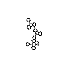 c1ccc(N2c3ccccc3-c3nccc4c3c2nc2ccc(-n3c5ccccc5c5cc(-c6cccc7c6c6ccccc6n7-c6ccccc6)ccc53)cc24)cc1